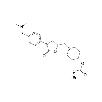 CN(C)Cc1ccc(N2CC(CN3CCC(OC(=O)OC(C)(C)C)CC3)OC2=O)cc1